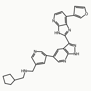 c1cc(-c2ccoc2)c2nc(-c3n[nH]c4ncc(-c5cncc(CNCC6CCCC6)c5)cc34)[nH]c2n1